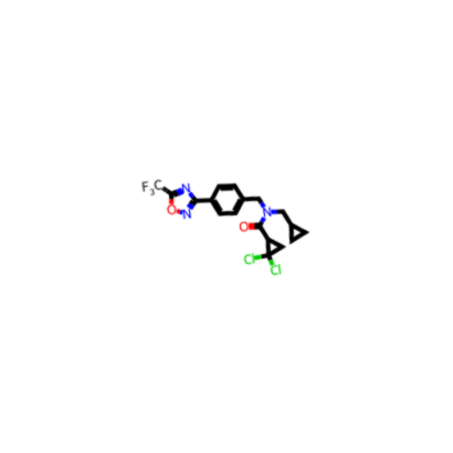 O=C(C1CC1(Cl)Cl)N(Cc1ccc(-c2noc(C(F)(F)F)n2)cc1)CC1CC1